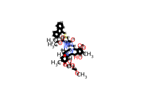 COCCOCOc1c(OC)c(C)cc2c1[C@@H]1C3Cc4c(O)c(C)c5c(c4[C@H](CNC(=O)[C@H](CSCC4c6ccccc6-c6ccccc64)NC(=O)OC(C)(C)C)N3[C@@H](C#N)[C@@H](C2)N1C)OCO5